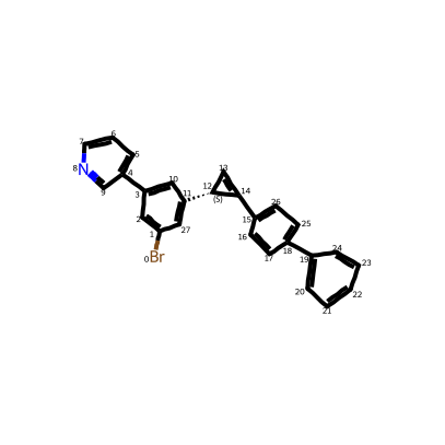 Brc1cc(-c2cccnc2)cc([C@@H]2C=C2c2ccc(-c3ccccc3)cc2)c1